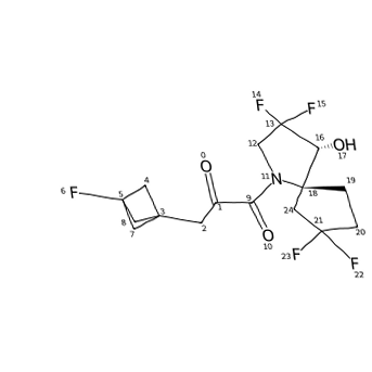 O=C(CC12CC(F)(C1)C2)C(=O)N1CC(F)(F)[C@H](O)[C@@]12CCC(F)(F)C2